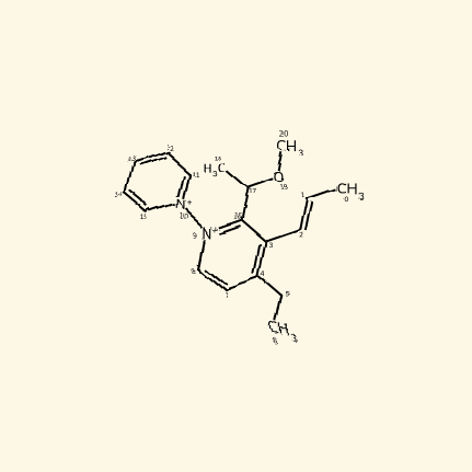 CC=Cc1c(CC)cc[n+](-[n+]2ccccc2)c1C(C)OC